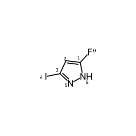 Fc1cc(I)n[nH]1